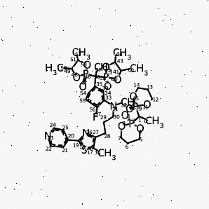 CC(P1(=O)OCCCO1)P1(=O)OCCCO1.Cc1sc(-c2ccncc2)nc1CCCN(C)c1cc(C(C)(P2(=O)OC(C)C(C)O2)P2(=O)OC(C)C(C)O2)ccc1F